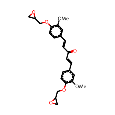 COc1cc(C=CC(=O)C=Cc2ccc(OCC3CO3)c(OC)c2)ccc1OCC1CO1